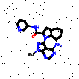 CC(C)(C)n1nc(-n2c(C(=O)Nc3cccnc3)cc3ccccc32)c2c(N)ncnc21